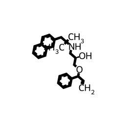 C=CC(OC[C@H](O)CNC(C)(C)Cc1ccc2ccccc2c1)c1ccccc1